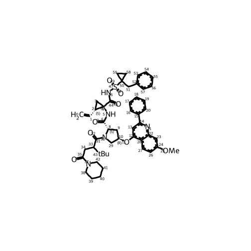 C=C[C@@H]1C[C@]1(NC(=O)[C@@H]1C[C@@H](Oc2cc(-c3ccccc3)nc3cc(OC)ccc23)CN1C(=O)C(CC(=O)N1CCCCC1)C(C)(C)C)C(=O)NS(=O)(=O)C1(Cc2ccccc2)CC1